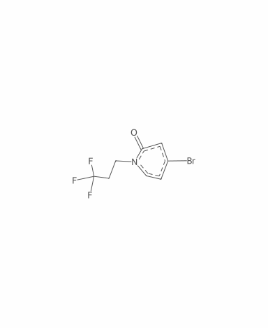 O=c1cc(Br)ccn1CCC(F)(F)F